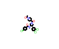 CC(=O)N1CCC(C(=O)N2C[C@H](c3ccc(Cl)c(Cl)c3)[C@@H](N(C)C(=O)c3ccc(Cl)cc3)C2)CC1